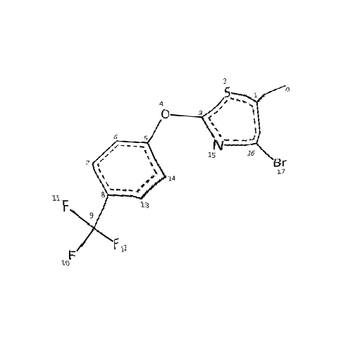 Cc1sc(Oc2ccc(C(F)(F)F)cc2)nc1Br